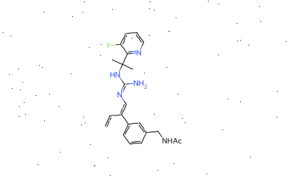 C=C/C(=C\N=C(/N)NC(C)(C)c1ncccc1F)c1cccc(CNC(C)=O)c1